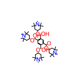 CN1C(C)(C)CC(OC(=O)c2cc(C(O)OC3CC(C)(C)N(C)C(C)(C)C3)c(C(O)OC3CC(C)(C)N(C)C(C)(C)C3)cc2C(O)OC2CC(C)(C)N(C)C(C)(C)C2)CC1(C)C